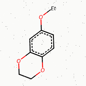 [CH2]COc1ccc2c(c1)OCCO2